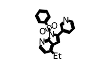 CCc1ccnc2c1cc(-c1cccnc1)n2S(=O)(=O)c1ccccc1